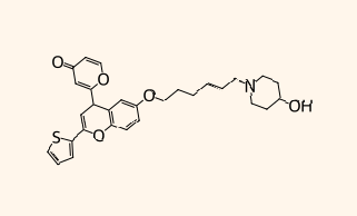 O=c1ccoc(C2C=C(c3cccs3)Oc3ccc(OCCCCCCN4CCC(O)CC4)cc32)c1